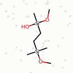 CO[Si](C)(C)CC[Si](C)(O)OC